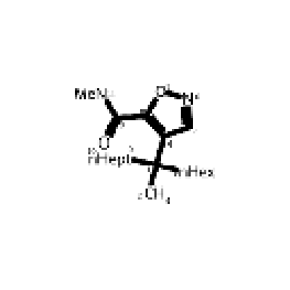 CCCCCCCC(C)(CCCCCC)c1cnoc1C(=O)NC